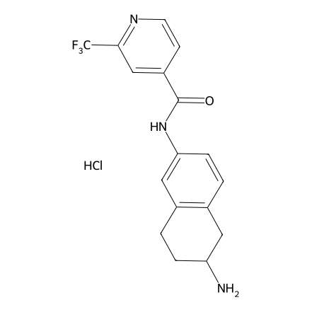 Cl.NC1CCc2cc(NC(=O)c3ccnc(C(F)(F)F)c3)ccc2C1